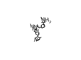 Cc1ccncc1-c1ccc2nc(N[C@@H](C)Cc3cccc(C(C)(C)N)c3)ncc2c1